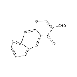 O=Cc1coc2cc3ccccc3cc2c1=O